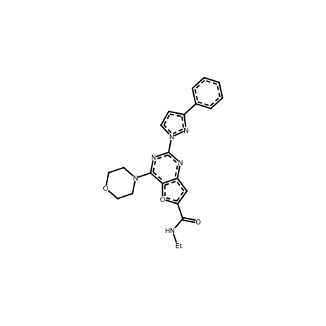 CCNC(=O)c1cc2nc(-n3ccc(-c4ccccc4)n3)nc(N3CCOCC3)c2o1